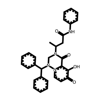 CC(CC(=O)Nc1ccccc1)N1CN(C(c2ccccc2)c2ccccc2)n2ccc(=O)c(O)c2C1=O